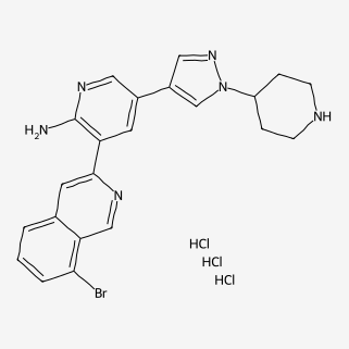 Cl.Cl.Cl.Nc1ncc(-c2cnn(C3CCNCC3)c2)cc1-c1cc2cccc(Br)c2cn1